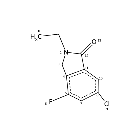 CCN1Cc2c(F)cc(Cl)cc2C1=O